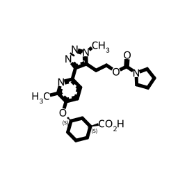 Cc1nc(-c2nnn(C)c2CCOC(=O)N2CCCC2)ccc1O[C@H]1CCC[C@H](C(=O)O)C1